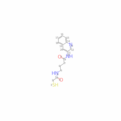 O=C(CS)NCCCC(=O)Nc1cnc2ccccc2c1